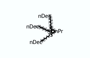 [CH2]CCc1cc(SCCCCCCCCCCCCCCCCC)c(SCCCCCCCCCCCCCCCCC)c(SCCCCCCCCCCCCCCCCC)c1